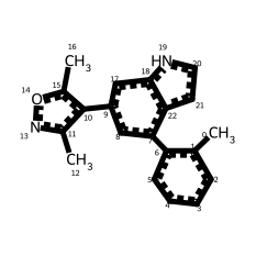 Cc1ccccc1-c1cc(-c2c(C)noc2C)cc2[nH]ccc12